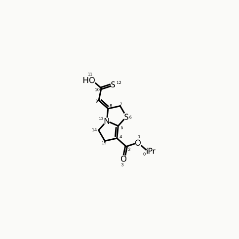 CC(C)OC(=O)C1=C2SCC(=CC(O)=S)N2CC1